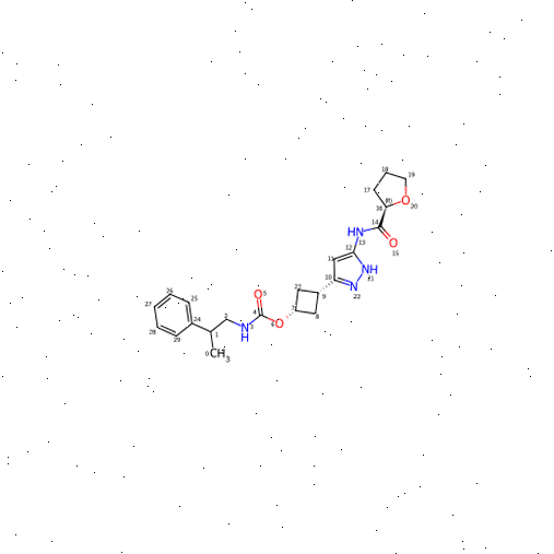 CC(CNC(=O)O[C@H]1C[C@@H](c2cc(NC(=O)[C@H]3CCCO3)[nH]n2)C1)c1ccccc1